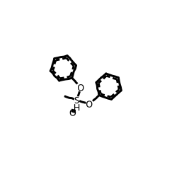 C[SH](=O)(Oc1ccccc1)Oc1ccccc1